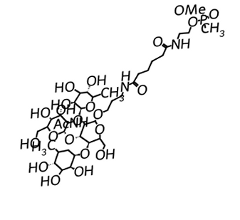 COP(C)(=O)OCCNC(=O)CCCCC(=O)NCCCO[C@@H]1OC(CO)[C@@H](O[C@@H]2CC(C)[C@@H](O)C(O)[C@@H]2O)[C@H](O[C@@H]2OC(CO)[C@H](O)[C@H](O)C2O[C@@H]2OC(C)[C@@H](O)C(O)[C@@H]2O)C1NC(C)=O